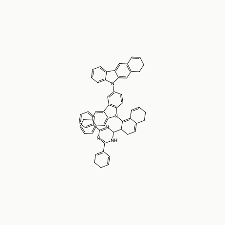 C1=CCC2C=c3c(n(C4=C5C=CCCC5=CCC4C4N=C(c5ccccc5)N=C(C5=CCCC=C5)N4)c4ccc(-n5c6ccccc6c6cc7c(cc65)CCC=C7)cc34)=CC2=C1